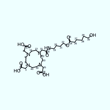 O=C(O)CN1CCN(CC(=O)O)CCN(CC(=O)NCCCCOC(=O)CCCCCO)CCN(CC(=O)O)CC1